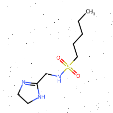 CCCCCS(=O)(=O)NCC1=NCCN1